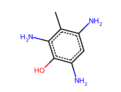 Cc1c(N)cc(N)c(O)c1N